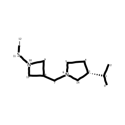 CC(C)[C@H]1CCN(CC2CN(SI)C2)C1